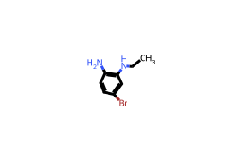 CCNc1cc(Br)ccc1N